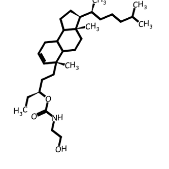 CC[C@@H](CC[C@]1(C)C=CCC2C1CC[C@]1(C)C2CC[C@H]1[C@@H](C)CCCC(C)C)OC(=O)NCCO